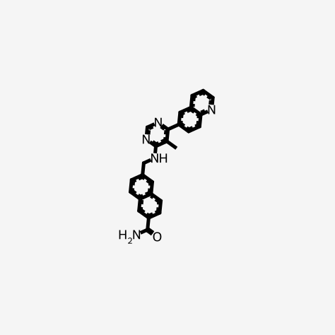 Cc1c(NCc2ccc3cc(C(N)=O)ccc3c2)ncnc1-c1ccc2ncccc2c1